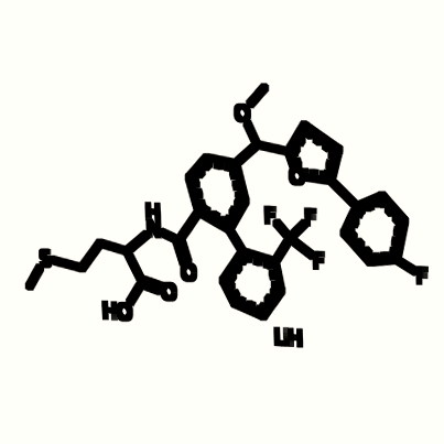 COC(c1ccc(C(=O)NC(CCSC)C(=O)O)c(-c2ccccc2C(F)(F)F)c1)c1ccc(-c2ccc(F)cc2)o1.[LiH]